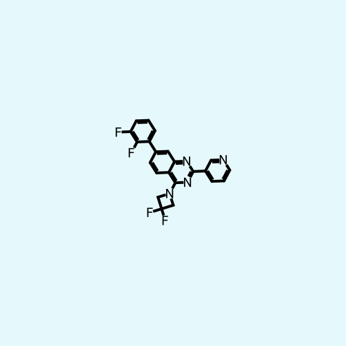 Fc1cccc(-c2ccc3c(N4CC(F)(F)C4)nc(-c4cccnc4)nc3c2)c1F